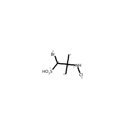 CC(C)(NCl)C(Br)S(=O)(=O)O